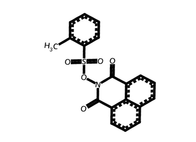 Cc1ccccc1S(=O)(=O)ON1C(=O)c2cccc3cccc(c23)C1=O